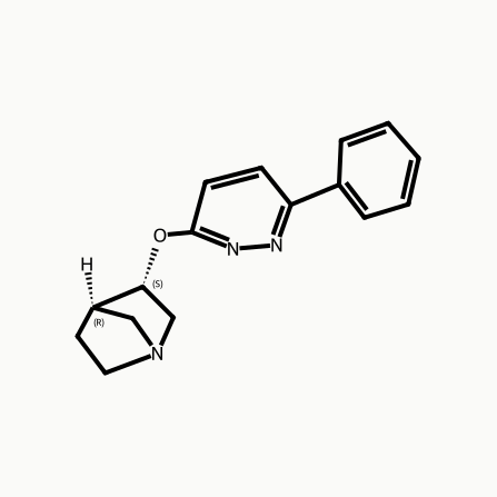 c1ccc(-c2ccc(O[C@@H]3CN4CC[C@@H]3C4)nn2)cc1